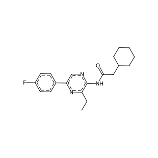 CCc1nc(-c2ccc(F)cc2)cnc1NC(=O)CC1CCCCC1